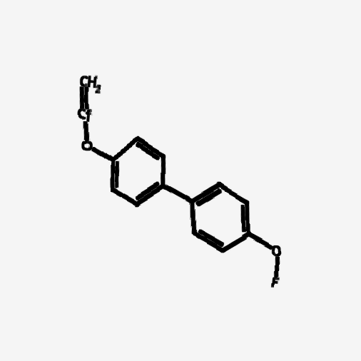 [CH2]=[Cf][O]c1ccc(-c2ccc(OF)cc2)cc1